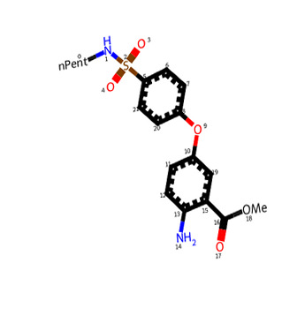 CCCCCNS(=O)(=O)c1ccc(Oc2ccc(N)c(C(=O)OC)c2)cc1